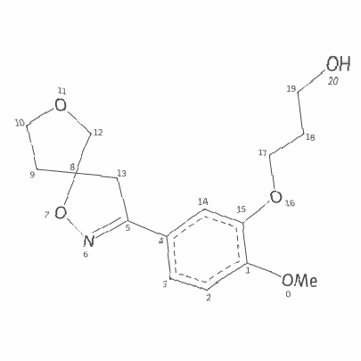 COc1ccc(C2=NOC3(CCOC3)C2)cc1OCCCO